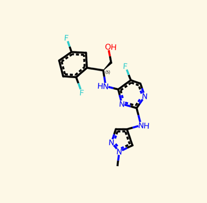 Cn1cc(Nc2ncc(F)c(N[C@H](CO)c3cc(F)ccc3F)n2)cn1